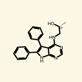 C[C@@H](O)CNc1ncnc2[nH]c(-c3ccccc3)c(-c3ccccc3)c12